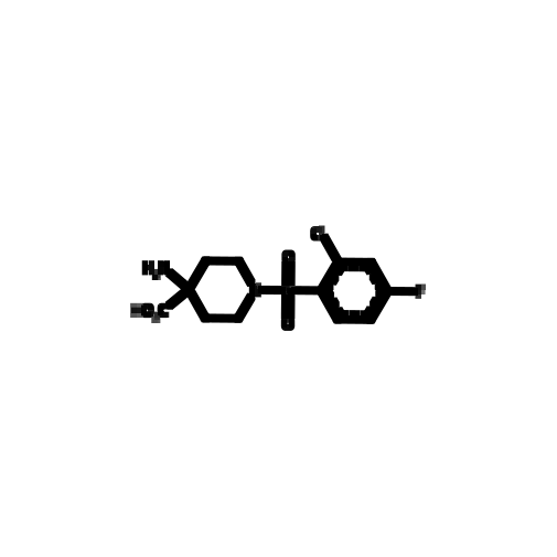 NC1(C(=O)O)CCN(S(=O)(=O)c2ccc(F)cc2Cl)CC1